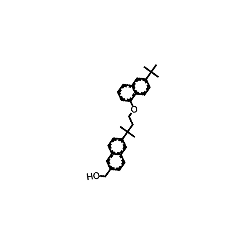 CC(C)(C)c1ccc2c(OCCC(C)(C)c3ccc4cc(CO)ccc4c3)cccc2c1